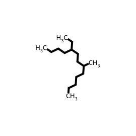 CCCCCC(C)CCC(CC)CCCC